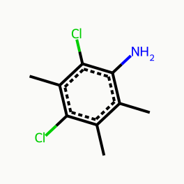 Cc1c(C)c(Cl)c(C)c(Cl)c1N